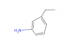 [CH2]Cc1cccc(N)c1